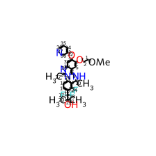 COCCOc1cc2c(N[C@H](C)c3cccc(C(F)(F)C(C)(C)O)c3F)nc(C)nc2cc1Oc1cccnc1